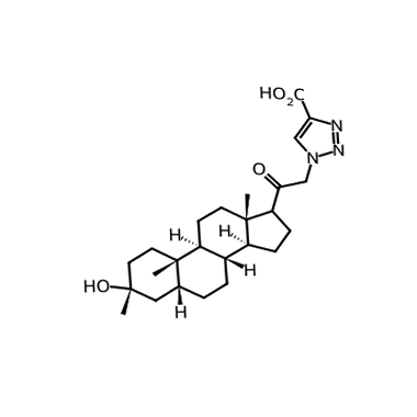 C[C@@]1(O)CC[C@@]2(C)[C@H](CC[C@@H]3[C@@H]2CC[C@]2(C)C(C(=O)Cn4cc(C(=O)O)nn4)CC[C@@H]32)C1